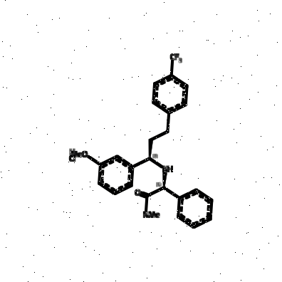 CNC(=O)[C@@H](N[C@H](CCc1ccc(C(F)(F)F)cc1)c1cccc(OC)c1)c1ccccc1.Cl